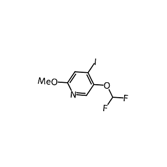 COc1cc(I)c(OC(F)F)cn1